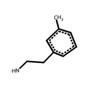 Cc1cccc(CC[NH])c1